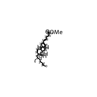 C/C=C/CC[C@@H](C)C[C@](C)(O)/C=C\[C@H]1[C@H]2CC(C=CCCC(=O)OC)=C[C@H]2C[C@H]1O